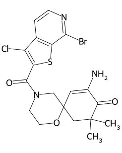 CC1(C)CC2(C=C(N)C1=O)CN(C(=O)c1sc3c(Br)nccc3c1Cl)CCO2